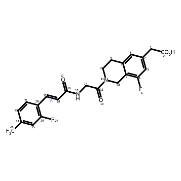 O=C(O)Cc1cc(F)c2c(c1)CCN(C(=O)CNC(=O)/C=C/c1ccc(C(F)(F)F)cc1F)C2